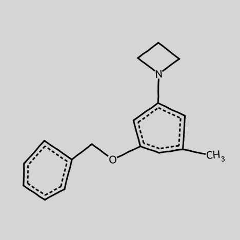 Cc1cc(OCc2ccccc2)cc(N2CCC2)c1